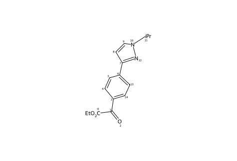 CCOC(=O)C(=O)c1ccc(-c2ccn(C(C)C)n2)cc1